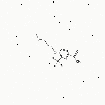 COCCCOc1ccc(C(=O)O)cc1C(F)(F)F